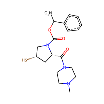 CN1CCN(C(=O)[C@@H]2C[C@H](S)CN2C(=O)OC(c2ccccc2)[N+](=O)[O-])CC1